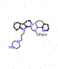 CCCCCN(Cc1nccc2c3ccccc3n(CCCN3CCNCC3)c12)C1CCCc2cccnc21